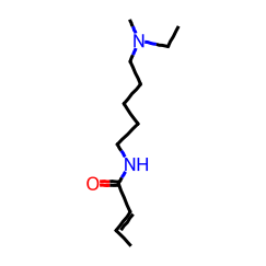 C/C=C/C(=O)NCCCCCN(C)CC